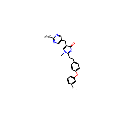 COc1ncc(Cc2cn(C)c(CCc3ccc(Oc4cccc(C(F)(F)F)c4)cc3)nc2=O)cn1